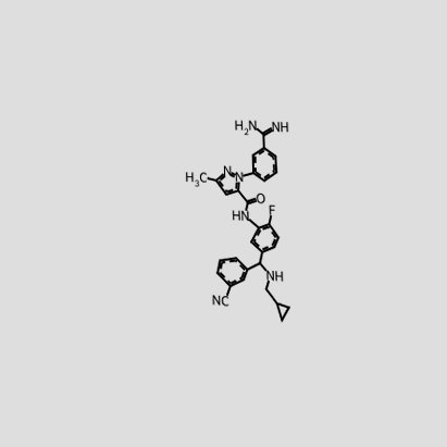 Cc1cc(C(=O)Nc2cc(C(NCC3CC3)c3cccc(C#N)c3)ccc2F)n(-c2cccc(C(=N)N)c2)n1